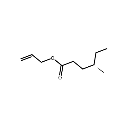 C=CCOC(=O)CC[C@@H](C)CC